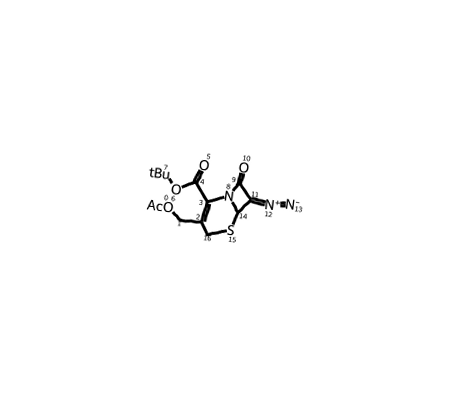 CC(=O)OCC1=C(C(=O)OC(C)(C)C)N2C(=O)C(=[N+]=[N-])C2SC1